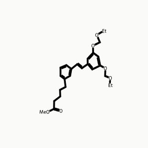 CCOCOc1cc(C=Cc2cccc(CCCCC(=O)OC)c2)cc(OCOCC)c1